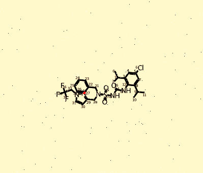 CC(C)c1cc(Cl)cc(C(C)C)c1NC(=O)NS(=O)(=O)N(Cc1ccccc1)Cc1ccn(CC(F)(F)F)n1